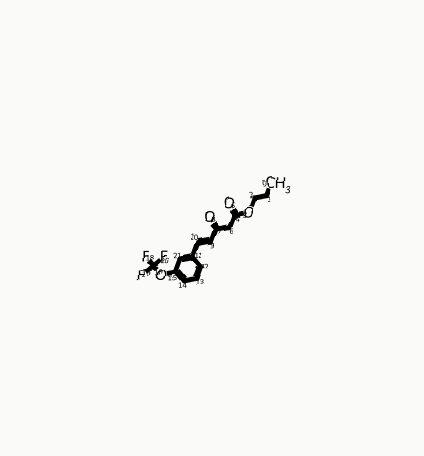 CCCOC(=O)CC(=O)C=Cc1cccc(OC(F)(F)F)c1